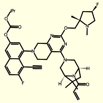 C#Cc1c(F)ccc2cc(OC(=O)OC(C)C)cc(N3CCc4c(nc(OC[C@]5(C)C[C@@H](F)CN5C)nc4N4C[C@H]5CC(C)(C)[C@@H](C4)N5C(=O)C=C)C3)c12